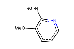 C[N]c1ncccc1OC